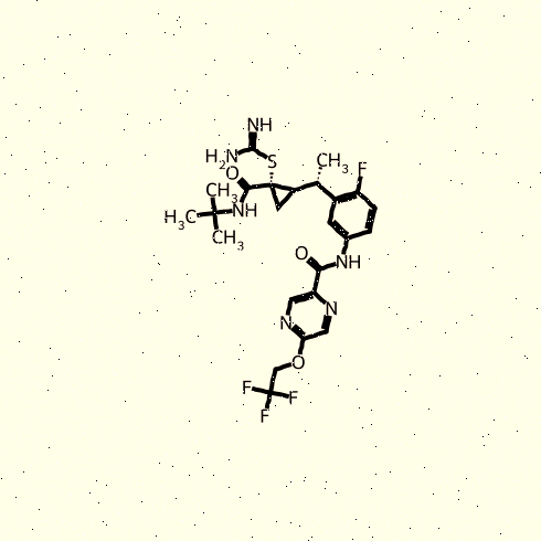 C[C@H](c1cc(NC(=O)c2cnc(OCC(F)(F)F)cn2)ccc1F)C1C[C@@]1(SC(=N)N)C(=O)NC(C)(C)C